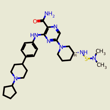 CN(C)SN[C@@H]1CCCN(c2cnc(C(N)=O)c(Nc3ccc(C4CCN(C5CCCC5)CC4)cc3)n2)C1